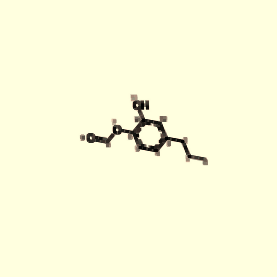 CCCc1ccc(OC=O)c(O)c1